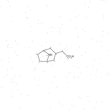 O=C(O)CC1CC2CCC(C1)N2